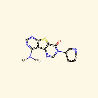 CN(C)c1ncnc2sc3c(=O)n(-c4cccnc4)cnc3c12